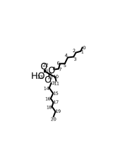 CCCCCCCCOC(CC)(OCCCCCCCC)C(=O)O